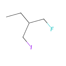 CCC(CF)CI